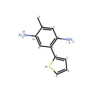 Cc1cc(N)c(-c2cccs2)cc1N